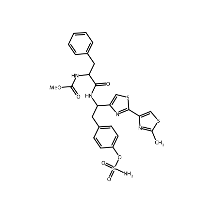 COC(=O)NC(Cc1ccccc1)C(=O)NC(Cc1ccc(OS(N)(=O)=O)cc1)c1csc(-c2csc(C)n2)n1